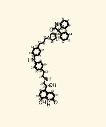 NC(=O)C(c1ccccc1)(c1ccccc1)[C@@H]1CCN(CCCc2ccc(Nc3ccc(CCNC[C@H](O)c4ccc(O)c5[nH]c(=O)ccc45)cc3)cc2)C1